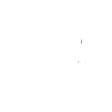 CCc1ccc(O)c(C(C)(C)C)c1.[Na]